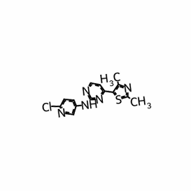 Cc1nc(C)c(-c2ccnc(Nc3ccc(Cl)nc3)n2)s1